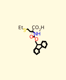 CCSCC[C@H](NC(=O)OCC1c2ccccc2-c2ccccc21)C(=O)O